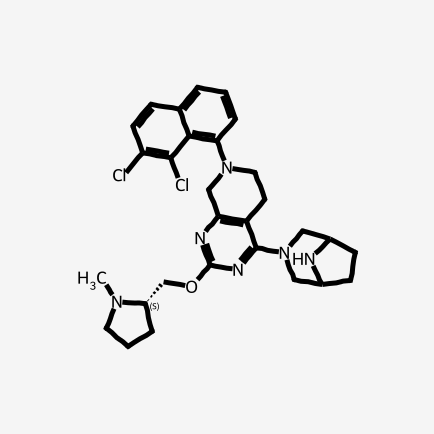 CN1CCC[C@H]1COc1nc2c(c(N3CC4CCC(C3)N4)n1)CCN(c1cccc3ccc(Cl)c(Cl)c13)C2